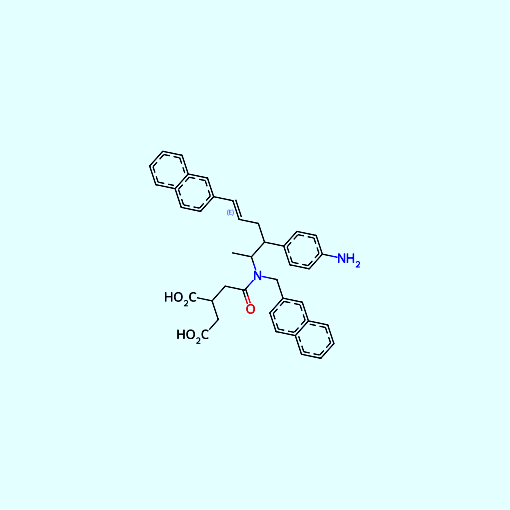 CC(C(C/C=C/c1ccc2ccccc2c1)c1ccc(N)cc1)N(Cc1ccc2ccccc2c1)C(=O)CC(CC(=O)O)C(=O)O